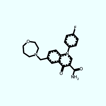 NC(=O)c1cn(-c2ccc(F)cc2)c2ccc(CN3CCCOCC3)cc2c1=O